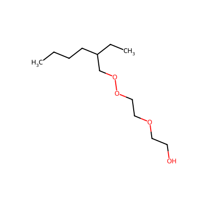 CCCCC(CC)COOCCOCCO